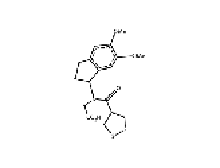 COc1cc2c(cc1OC)C(N(CC(=O)O)C(=O)C1CSSC1)CC2